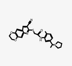 Cc1ccc(C(C)N2CCCC2)cc1NC(=O)CSc1nc2cc3c(cc2cc1C#N)OCCO3